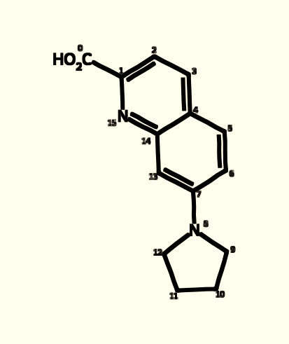 O=C(O)c1ccc2ccc(N3CCCC3)cc2n1